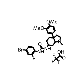 COc1ccc(C23CCC(NC(=O)Nc4ccc(Br)cc4F)CC2N(C)CC3)cc1OC.O=C(O)C(F)(F)F